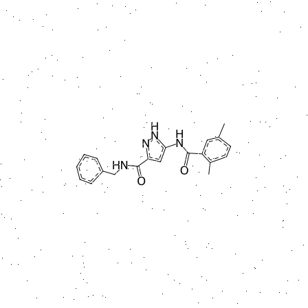 Cc1ccc(C)c(C(=O)Nc2cc(C(=O)NCc3ccccc3)n[nH]2)c1